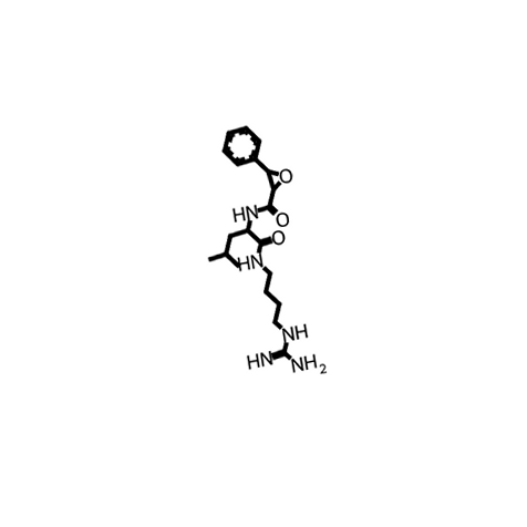 CC(C)CC(NC(=O)C1OC1c1ccccc1)C(=O)NCCCCNC(=N)N